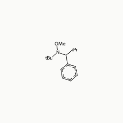 CON(C(c1ccccc1)C(C)C)C(C)(C)C